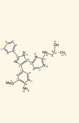 COc1cc(-c2nc(-c3ccccc3)[nH]c2-c2ccnc(NC[C@@H](C)O)n2)cnc1N